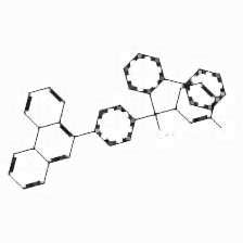 OC(c1ccc(C2=C3C=CC=CC3C3C=CC=CC3=C2)cc1)(c1ccccc1-c1ccccc1)C1C=C(Br)C=CC1